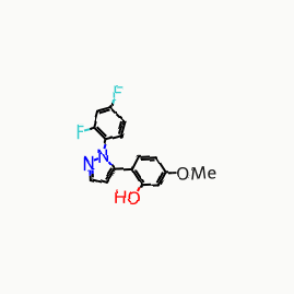 COc1ccc(-c2ccnn2-c2ccc(F)cc2F)c(O)c1